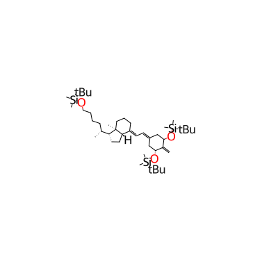 C=C1C(O[Si](C)(C)C(C)(C)C)C/C(=C/C=C2\CCC[C@]3(C)[C@@H]([C@H](C)CCCCO[Si](C)(C)C(C)(C)C)CC[C@@H]23)C[C@H]1O[Si](C)(C)C(C)(C)C